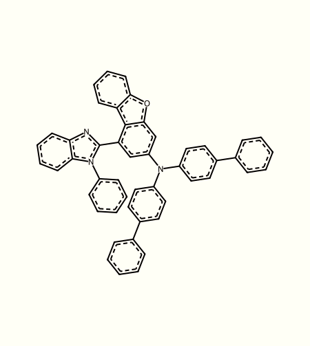 c1ccc(-c2ccc(N(c3ccc(-c4ccccc4)cc3)c3cc(-c4nc5ccccc5n4-c4ccccc4)c4c(c3)oc3ccccc34)cc2)cc1